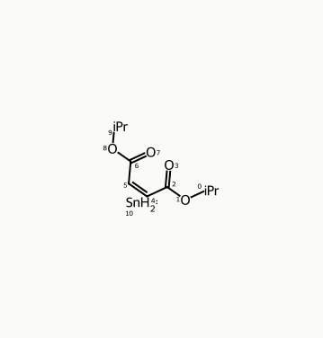 CC(C)OC(=O)/C=C\C(=O)OC(C)C.[SnH2]